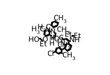 CCC(CC)Nc1cc(C)nc2c(-c3c(C)cc(Cl)cc3C)cccc12.CCC(CO)Oc1cc(C)nc2c1NC(=O)CN2c1c(C)cc(C)cc1C